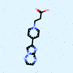 O=C(O)CC[n+]1ccc(-c2cn3nccnc3n2)cc1